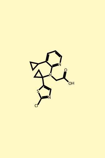 O=C(O)CN(c1ncccc1C1CC1)C1(c2cnc(Cl)s2)CC1